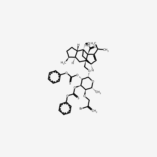 C=C(Br)CO[C@H]1[C@@H](OC(=S)Oc2ccccc2)[C@H](OC(=S)Oc2ccccc2)[C@H](OC[C@]23C[C@H]4[C@@H](C)CC[C@@H]4[C@]4(C=O)C[C@H]2C=C(C(C)C)[C@]34C(=O)O)O[C@@H]1C